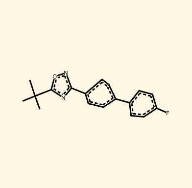 CC(C)(C)c1nc(-c2ccc(-c3ccc(F)cc3)cc2)no1